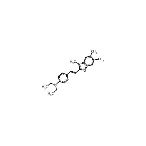 CCN(CC)c1ccc(/C=C/c2oc3cc(C)c(C)cc3[n+]2C)cc1